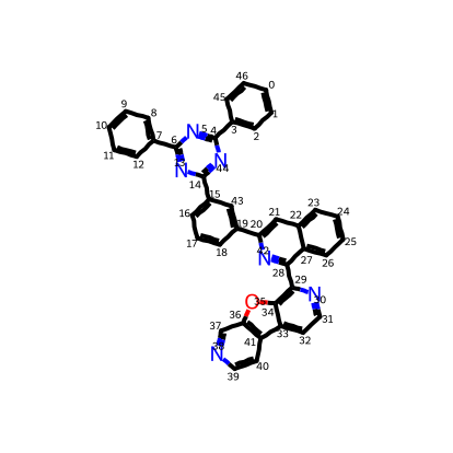 c1ccc(-c2nc(-c3ccccc3)nc(-c3cccc(-c4cc5ccccc5c(-c5nccc6c5oc5cnccc56)n4)c3)n2)cc1